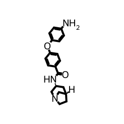 Nc1ccc(Oc2ccc(C(=O)N[C@@H]3C[C@@H]4CCN(C4)C3)cc2)cc1